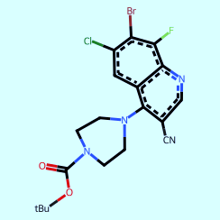 CC(C)(C)OC(=O)N1CCN(c2c(C#N)cnc3c(F)c(Br)c(Cl)cc23)CC1